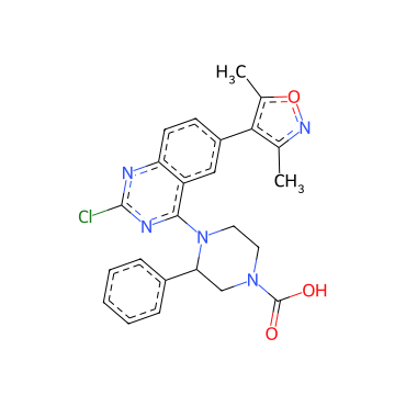 Cc1noc(C)c1-c1ccc2nc(Cl)nc(N3CCN(C(=O)O)CC3c3ccccc3)c2c1